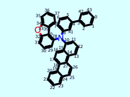 c1ccc(-c2cccc(N(c3cccc4c3ccc3c5ccccc5ccc43)c3cccc4oc5ccccc5c34)c2)cc1